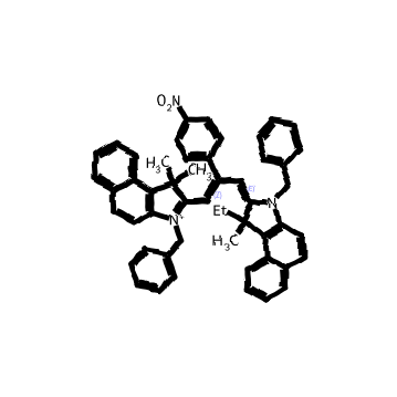 CCC1(C)/C(=C\C(=C\C2=[N+](Cc3ccccc3)c3ccc4ccccc4c3C2(C)C)c2ccc([N+](=O)[O-])cc2)N(Cc2ccccc2)c2ccc3ccccc3c21